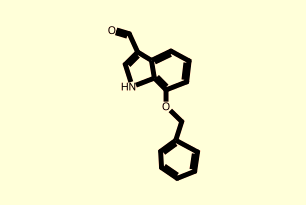 O=Cc1c[nH]c2c(OCc3ccccc3)cccc12